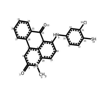 Cn1c(=O)cc2c3c(c(Nc4ccc(S)c(Cl)c4)ccc31)C(=O)c1ccccc1-2